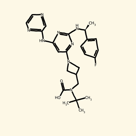 C[C@H](Nc1nc(Nc2cnccn2)cc(N2CC(CN(C(=O)O)C(C)(C)C)C2)n1)c1ccc(F)cc1